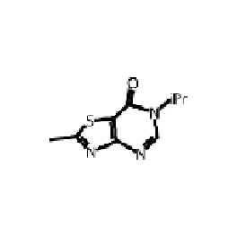 Cc1nc2ncn(C(C)C)c(=O)c2s1